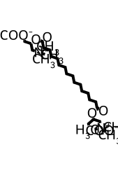 C[N+](C)(C)CC(CC(=O)[O-])OC(=O)CCCCCCCCCCCCCCC(=O)OC(CC(=O)[O-])C[N+](C)(C)C